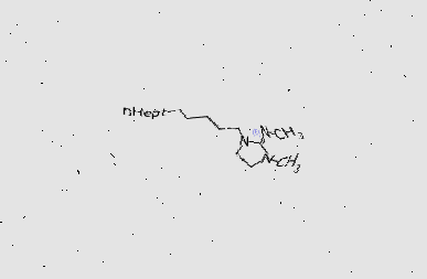 CCCCCCCCCCCCN1CCN(C)/C1=N\C